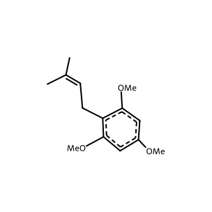 COc1cc(OC)c(CC=C(C)C)c(OC)c1